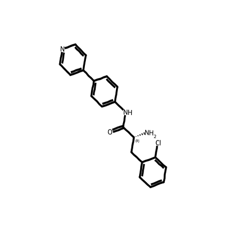 N[C@H](Cc1ccccc1Cl)C(=O)Nc1ccc(-c2ccncc2)cc1